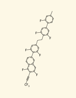 Cc1ccc(-c2cc(F)c(CCc3cc(F)c(-c4ccc5c(F)c(C#CC(F)(F)F)c(F)cc5c4)c(F)c3)c(F)c2)c(F)c1